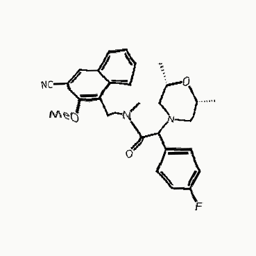 COc1c(C#N)cc2ccccc2c1CN(C)C(=O)C(c1ccc(F)cc1)N1C[C@@H](C)O[C@@H](C)C1